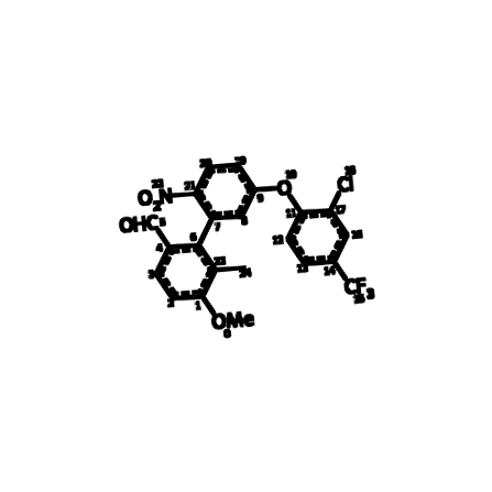 COc1ccc(C=O)c(-c2cc(Oc3ccc(C(F)(F)F)cc3Cl)ccc2[N+](=O)[O-])c1C